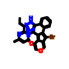 CCCc1nc(C)cc(=O)n1Cc1c2ccocc-2c(Br)c1-c1ccccc1-c1nnn[nH]1